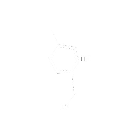 Cc1ccc(CS)cc1.Cl